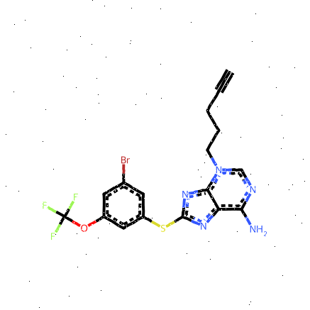 C#CCCCn1cnc(N)c2nc(Sc3cc(Br)cc(OC(F)(F)F)c3)nc1-2